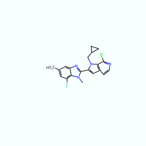 Cn1c(-c2cc3ccnc(Cl)c3n2CC2CC2)nc2cc(C(=O)O)cc(F)c21